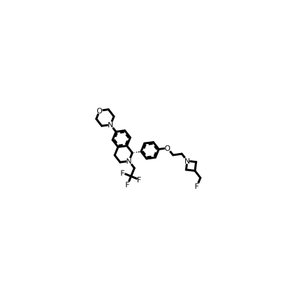 FCC1CN(CCOc2ccc([C@H]3c4ccc(N5CCOCC5)cc4CCN3CC(F)(F)F)cc2)C1